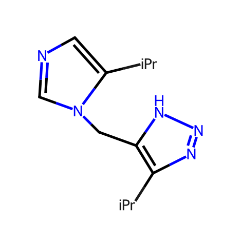 CC(C)c1nn[nH]c1Cn1cncc1C(C)C